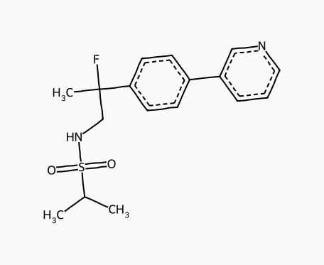 CC(C)S(=O)(=O)NCC(C)(F)c1ccc(-c2cccnc2)cc1